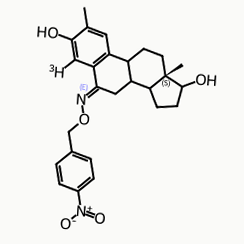 [3H]c1c(O)c(C)cc2c1/C(=N/OCc1ccc([N+](=O)[O-])cc1)CC1C2CC[C@]2(C)C(O)CCC12